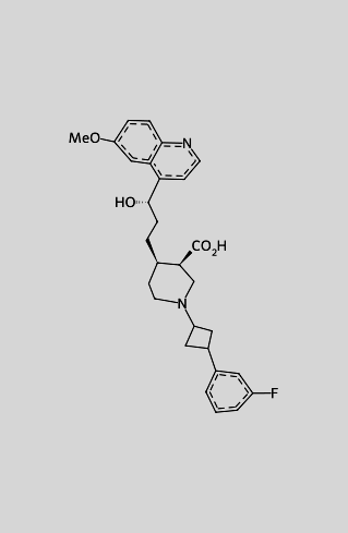 COc1ccc2nccc([C@@H](O)CC[C@@H]3CCN(C4CC(c5cccc(F)c5)C4)C[C@@H]3C(=O)O)c2c1